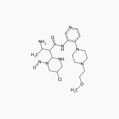 COCCN1CCN(c2ccncc2NC(=O)C(C(C)N)C2NCC(Cl)CN2N=O)CC1